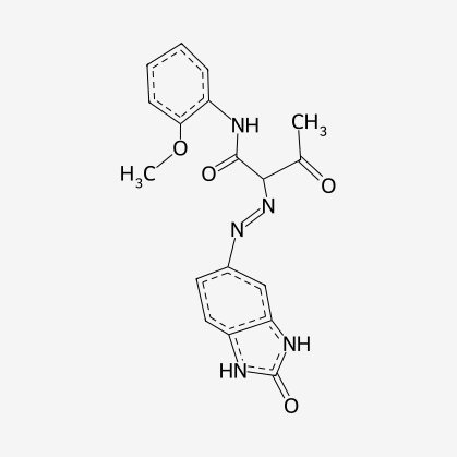 COc1ccccc1NC(=O)C(N=Nc1ccc2[nH]c(=O)[nH]c2c1)C(C)=O